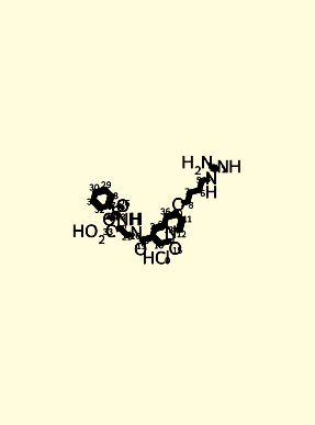 Cl.N=C(N)NCCCCOc1ccn2c(=O)cc(C(=O)NCC(NS(=O)(=O)c3ccccc3)C(=O)O)cc2c1